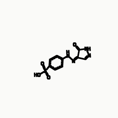 O=C1NN=C/C1=N/Nc1ccc(S(=O)(=O)O)cc1